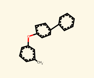 [CH2]c1cccc(Oc2ccc(-c3ccccc3)cc2)c1